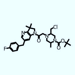 CC1CN(CC(=O)N2CC(C)(C)c3ncc(Cc4ccc(F)cc4)cc32)C(CCl)CN1C(=O)OC(C)(C)C